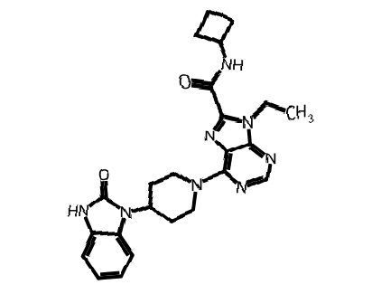 CCn1c(C(=O)NC2CCC2)nc2c(N3CCC(n4c(=O)[nH]c5ccccc54)CC3)ncnc21